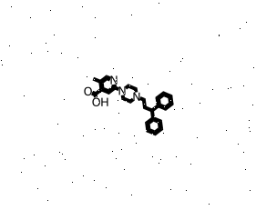 Cc1cnc(N2CCN(CCC(c3ccccc3)c3ccccc3)CC2)cc1C(=O)O